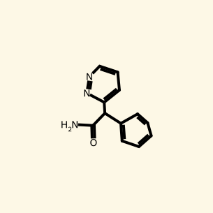 NC(=O)C(c1ccccc1)c1cccnn1